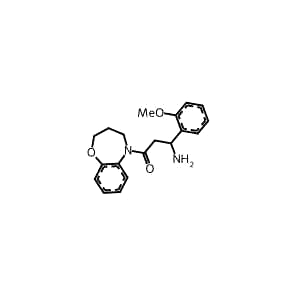 COc1ccccc1C(N)CC(=O)N1CCCOc2ccccc21